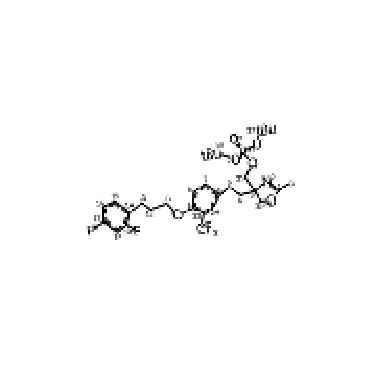 CC1=NC(CCc2ccc(OCCCc3ccc(F)cc3F)c(C(F)(F)F)c2)(COP(=O)(OC(C)(C)C)OC(C)(C)C)CO1